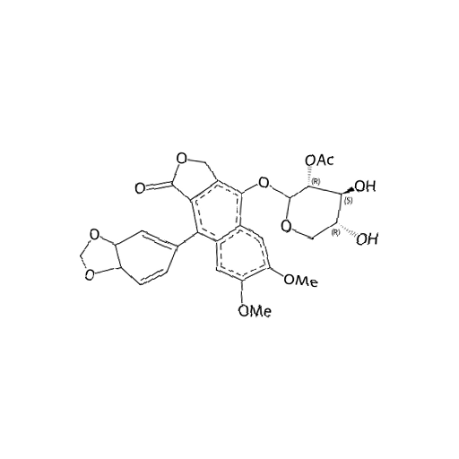 COc1cc2c(OC3OC[C@@H](O)[C@H](O)[C@H]3OC(C)=O)c3c(c(C4=CC5OCOC5C=C4)c2cc1OC)C(=O)OC3